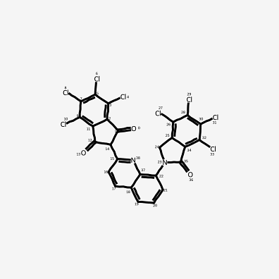 O=C1c2c(Cl)c(Cl)c(Cl)c(Cl)c2C(=O)C1c1ccc2cccc(N3Cc4c(Cl)c(Cl)c(Cl)c(Cl)c4C3=O)c2n1